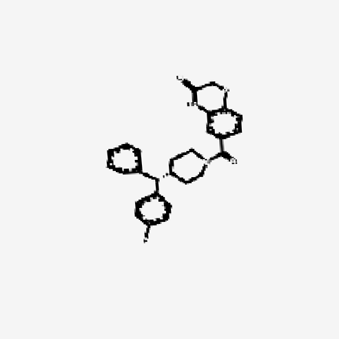 O=C1COc2ccc(C(=O)N3CCC([C@@H](c4ccccc4)c4ccc(F)cc4)CC3)cc2N1